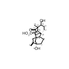 C=C1CC23C[C@@]1(O)CCC2[C@@]12CCC(O)C(C)(C(=O)O1)C2C3C(=O)O